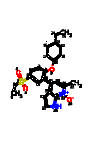 CCS(=O)(=O)c1ccc(O[C@H]2CC[C@H](CC)CC2)c(-c2cc(C)[n+]([O-])c3[nH]ccc23)c1